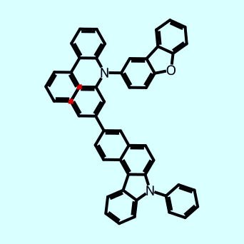 c1ccc(-c2ccccc2N(c2cccc(-c3ccc4c(ccc5c4c4ccccc4n5-c4ccccc4)c3)c2)c2ccc3oc4ccccc4c3c2)cc1